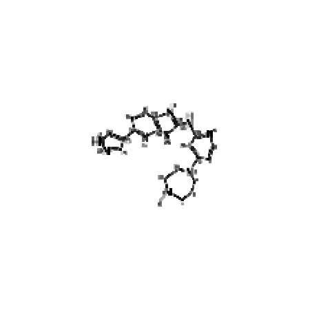 CN1CCCN(c2ccnc(Nc3nc4ccc(-c5cn[nH]c5)nc4s3)c2)CC1